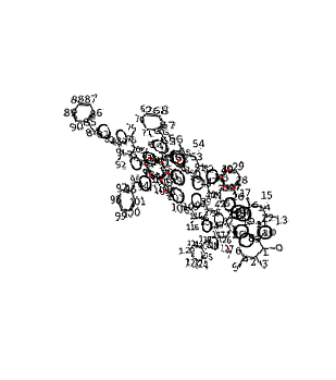 CC1C(C)[C@@H](C)[C@H](C)O[C@H]1OC1C(C)[C@@H](C)[C@H](C)O[C@H]1O[C@H]1C(C(=O)OCc2ccccc2)O[C@@H](O[C@@H]2C(C)[C@@H](C3C(C)[C@@H](C)[C@H](C)O[C@H]3OC3C(C)[C@@H](C)[C@H](C)O[C@H]3O[C@H]3C(C(=O)OCc4ccccc4)O[C@@H](O[C@@H]4C(C)[C@H](C)OC(COCc5ccccc5)[C@@H]4C)C(OCc4ccccc4)[C@H]3C)OC(COCc3ccccc3)[C@@H]2C)C(OCc2ccccc2)[C@H]1C